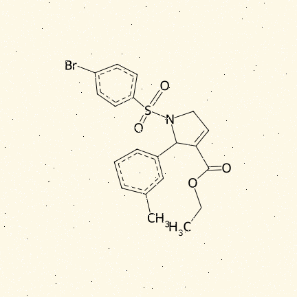 CCOC(=O)C1=CCN(S(=O)(=O)c2ccc(Br)cc2)C1c1cccc(C)c1